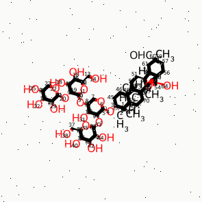 CC1(C)[C@@H](O[C@@H]2OC[C@H](O[C@@H]3O[C@H](CO)[C@@H](O)[C@H](O)[C@H]3O[C@@H]3OC[C@@H](O)[C@H](O)[C@H]3O)[C@H](O)[C@H]2O[C@@H]2O[C@H](CO)[C@@H](O)[C@H](O)[C@H]2O)CC[C@]2(C)[C@H]3CC[C@]45OC[C@@]6(CC[C@](C)(C=O)C[C@H]64)[C@H](O)C[C@@]5(C)[C@]3(C)CC[C@@H]12